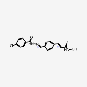 O=C(/C=C/c1ccc(/C=N/NC(=O)c2ccc(Cl)cc2)cc1)NO